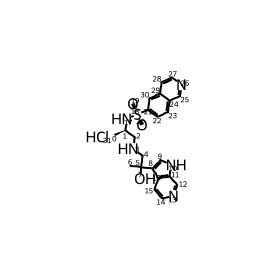 C[C@H](CNCC(C)(O)c1c[nH]c2cnccc12)NS(=O)(=O)c1ccc2cnccc2c1.Cl